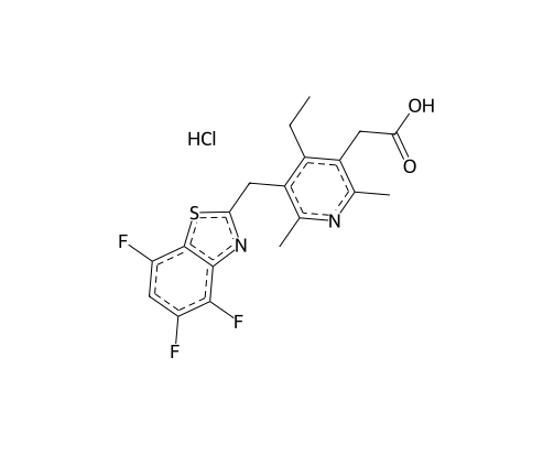 CCc1c(CC(=O)O)c(C)nc(C)c1Cc1nc2c(F)c(F)cc(F)c2s1.Cl